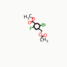 COC(=O)c1cc(Br)c(COC(C)=O)cc1F